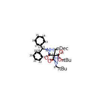 CCCCCCCCCCCC(C(=O)NCC(C)(C)C)(C(=O)NC(c1ccccc1)c1ccccc1)C(=O)OC(C)(C)C